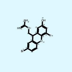 N=C(N)OCC1c2cc(Br)ccc2Oc2c(F)cc(O)cc21